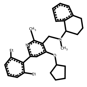 CCc1cccc(CC)c1-c1cc(OC2CCCC2)c(CN(C)C2CCCc3ccccc32)c(C)n1